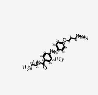 Cl.[N-]=[N+]=NCCCOc1ccc(N=Nc2ccc(C(=O)NCCN)cc2)cc1